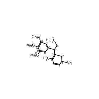 CCCc1ccc(C)c(C(CC(=O)O)c2cc(OC)c(OC)c(OC)c2)c1